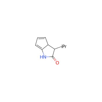 CC(C)C1C(=O)NC2=CC=CC21